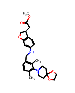 COC(=O)C[C@@H]1COc2cc(NCc3ccc(C)c(N4CCC5(CC4)OCCO5)c3C)ccc21